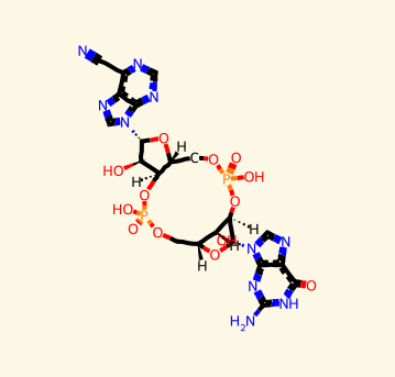 N#Cc1ncnc2c1ncn2[C@@H]1O[C@@H]2COP(=O)(O)O[C@@H]3[C@H](O)[C@@H](COP(=O)(O)O[C@H]2[C@H]1O)O[C@H]3n1cnc2c(=O)[nH]c(N)nc21